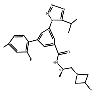 Cc1ccc(-c2cc(C(=O)N[C@H](C)CN3CC(F)C3)cc(-n3nnnc3C(C)C)c2)c(F)c1